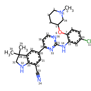 CN1CCCC(Oc2ccc(Cl)cc2Nc2nccc(-c3cc(C#N)c4c(c3)C(C)(C)CN4)n2)C1